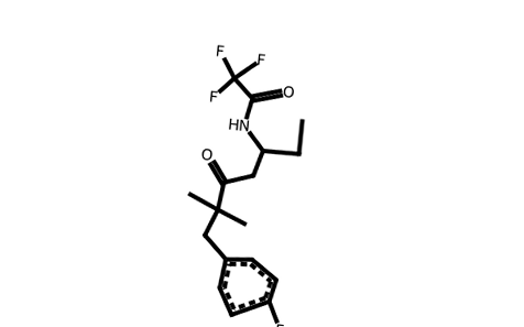 CCC(CC(=O)C(C)(C)Cc1ccc(F)cc1)NC(=O)C(F)(F)F